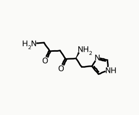 NCC(=O)CC(=O)[C@@H](N)Cc1c[nH]cn1